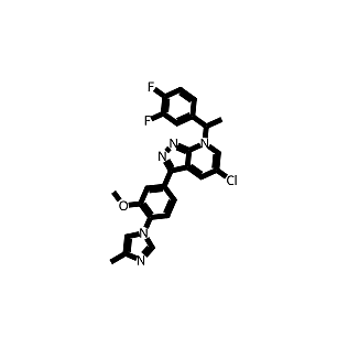 COc1cc(-c2nnc3n(C(C)c4ccc(F)c(F)c4)cc(Cl)cc2-3)ccc1-n1cnc(C)c1